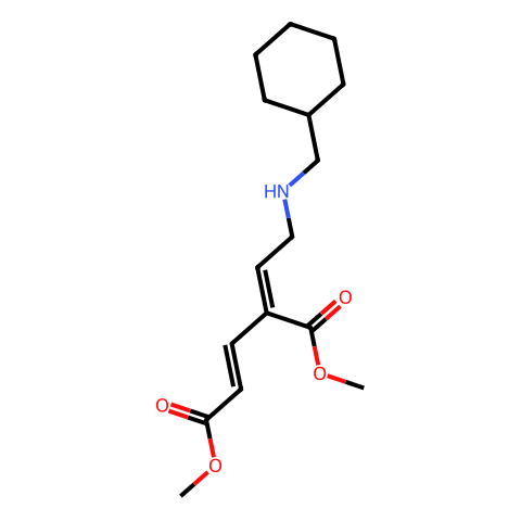 COC(=O)C=CC(=CCNCC1CCCCC1)C(=O)OC